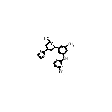 Cc1cc(Nc2nccc(C(F)(F)F)n2)cc(C2CC(C#N)CC(c3nccs3)C2)c1